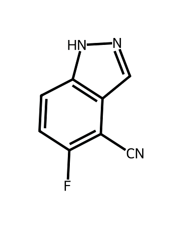 N#Cc1c(F)ccc2[nH]ncc12